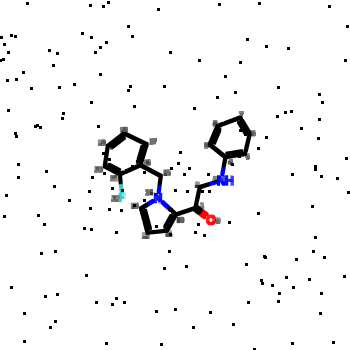 O=C(CNc1ccccc1)c1cccn1Cc1ccccc1F